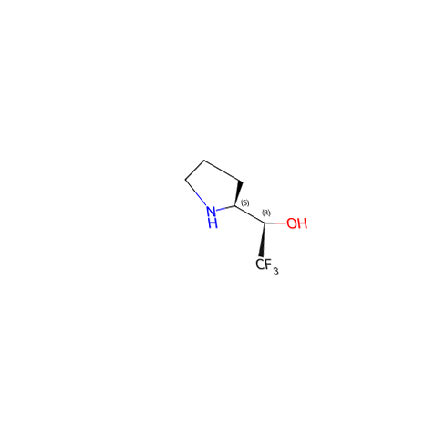 O[C@H]([C@@H]1CCCN1)C(F)(F)F